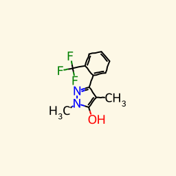 Cc1c(-c2ccccc2C(F)(F)F)nn(C)c1O